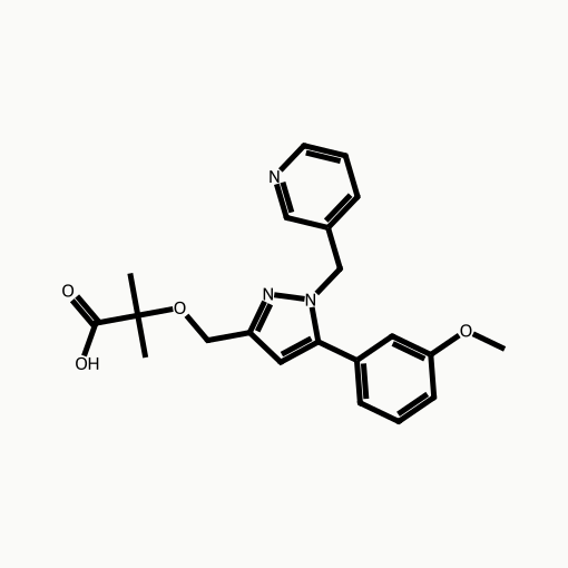 COc1cccc(-c2cc(COC(C)(C)C(=O)O)nn2Cc2cccnc2)c1